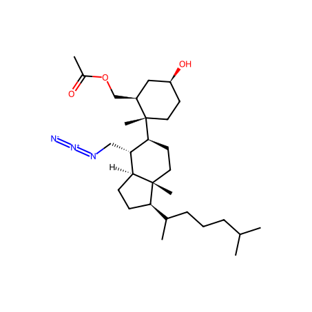 CC(=O)OC[C@H]1C[C@@H](O)CC[C@]1(C)[C@H]1CC[C@]2(C)[C@@H](C(C)CCCC(C)C)CC[C@H]2[C@@H]1CN=[N+]=[N-]